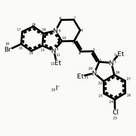 CCN1C(=CC=C2CCCn3c2[n+](CC)c2cc(Br)ccc23)N(CC)c2cc(Cl)ccc21.[I-]